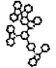 c1ccc(-c2nc3ccccc3n2-c2ccc(-c3cc(-c4nc5ccccc5c5c6c(ccc45)C4(c5ccccc5-c5ccccc54)c4ccccc4-6)cc(-n4c5ccccc5c5ccccc54)c3)cc2)cc1